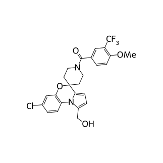 COc1ccc(C(=O)N2CCC3(CC2)Oc2cc(Cl)ccc2-n2c(CO)ccc23)cc1C(F)(F)F